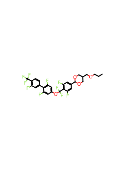 CCCOCC1COC(c2cc(F)c(C(F)(F)Oc3cc(F)c(-c4ccc(C(F)(F)F)c(F)c4)c(F)c3)c(F)c2)OC1